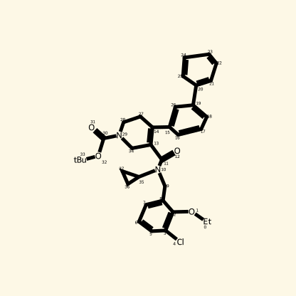 CCOc1c(Cl)cccc1CN(C(=O)C1=C(c2cccc(-c3ccccc3)c2)CCN(C(=O)OC(C)(C)C)C1)C1CC1